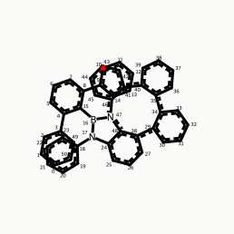 c1ccc(-c2cccc(-c3ccccc3)c2B2N(c3ccccc3)c3cccc4c5ccccc5c5ccccc5c5ccccc5n2c34)cc1